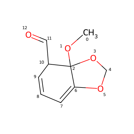 COC12OCOC1=CC=CC2C=O